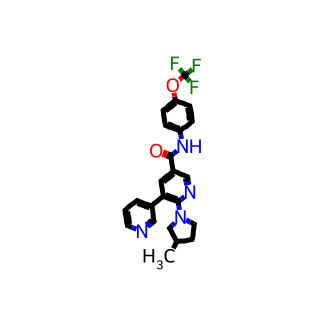 CC1CCN(c2ncc(C(=O)Nc3ccc(OC(F)(F)F)cc3)cc2-c2cccnc2)C1